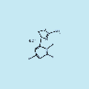 C[C@]1(c2cc(F)cc(F)c2F)COC(N)=N1